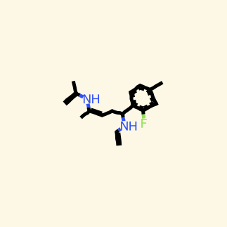 C=CNC(C/C=C(/C)NC(=C)C)c1ccc(C)cc1F